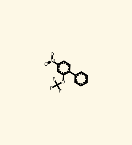 O=[N+]([O-])c1ccc(-c2ccccc2)c(OC(F)(F)F)c1